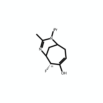 CC1=NC2CC(CC=C(O)[C@@H]2F)N1C(C)C